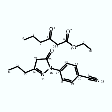 CCCC(=O)CC(=O)OCC.CCCC1=NN(c2ccc(C#N)cc2)C(=O)C1